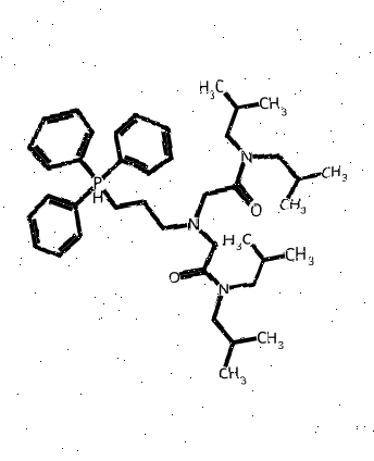 CC(C)CN(CC(C)C)C(=O)CN(CCC[PH](c1ccccc1)(c1ccccc1)c1ccccc1)CC(=O)N(CC(C)C)CC(C)C